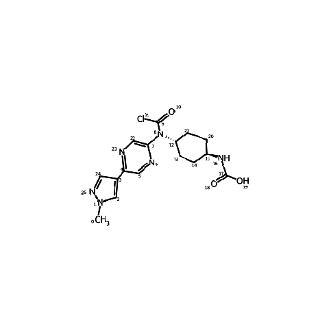 Cn1cc(-c2cnc(N(C(=O)Cl)[C@H]3CC[C@H](NC(=O)O)CC3)cn2)cn1